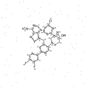 Nc1ncnc2c1ncn2Cc1cc(-c2ccc(F)c(F)c2)ncc1N1CC[C@@H](O)[C@](N)(c2cccc(Cl)n2)C1